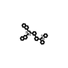 c1cc(-c2cccc(-c3c4ccccc4n4c3sc3ccccc34)c2)cc(-c2cc(-c3ccc4ccccc4c3)nc(-c3ccc4ccccc4c3)n2)c1